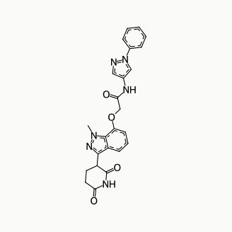 Cn1nc(C2CCC(=O)NC2=O)c2cccc(OCC(=O)Nc3cnn(-c4ccccc4)c3)c21